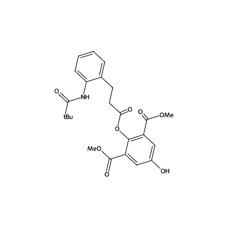 COC(=O)c1cc(O)cc(C(=O)OC)c1OC(=O)CCc1ccccc1NC(=O)C(C)(C)C